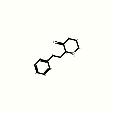 O=C1CCCOC1CCc1ccccc1